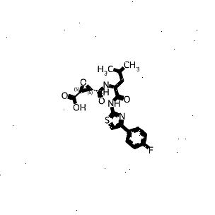 CC(C)CC(NC(=O)[C@H]1O[C@@H]1C(=O)O)C(=O)Nc1nc(-c2ccc(F)cc2)cs1